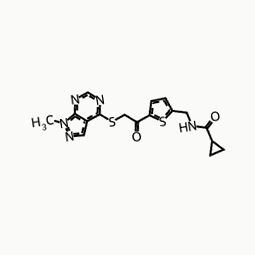 Cn1ncc2c(SCC(=O)c3ccc(CNC(=O)C4CC4)s3)ncnc21